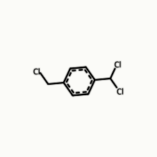 ClCc1ccc(C(Cl)Cl)cc1